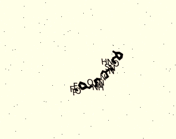 Cc1ccccc1CC(=O)Nc1nnc(C2CCN(c3ccc(NC(=O)Cc4cccc(OC(F)(F)F)c4)nn3)CC2)s1